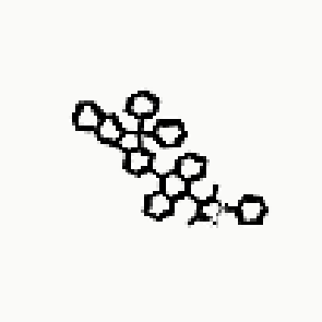 Cc1nn(-c2ccccc2)c(C)c1-c1c2ccccc2c(-c2ccc3c(c2)C(c2ccccc2)(c2ccccc2)c2cc4ccccc4cc2-3)c2ccccc12